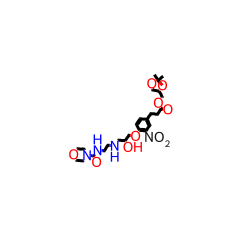 CC1(C)OCC(COC(=O)CCc2ccc(OCC(O)CNCCNC(=O)N3CCOCC3)c([N+](=O)[O-])c2)O1